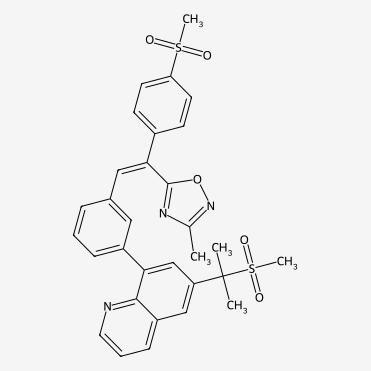 Cc1noc(C(=Cc2cccc(-c3cc(C(C)(C)S(C)(=O)=O)cc4cccnc34)c2)c2ccc(S(C)(=O)=O)cc2)n1